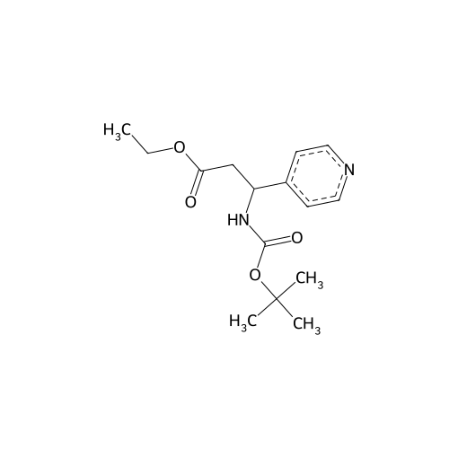 CCOC(=O)CC(NC(=O)OC(C)(C)C)c1ccncc1